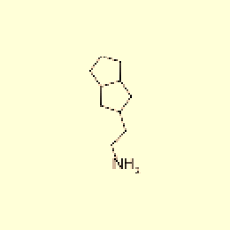 NCCC1CC2CCCC2C1